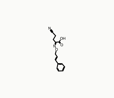 N#CCCC(=NOCC=Cc1ccccc1)C(=O)O